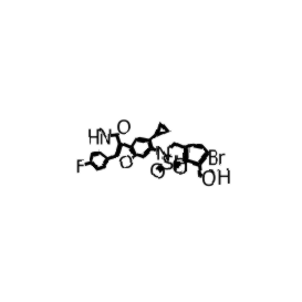 CNC(=O)c1c(-c2ccc(F)cc2)oc2cc(N(Cc3ccc(Br)c(CO)c3)[SH](=O)=O)c(C3CC3)cc12